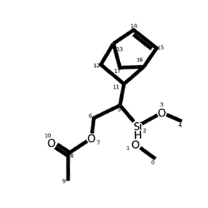 CO[SiH](OC)C(COC(C)=O)C1CC2C=CC1C2